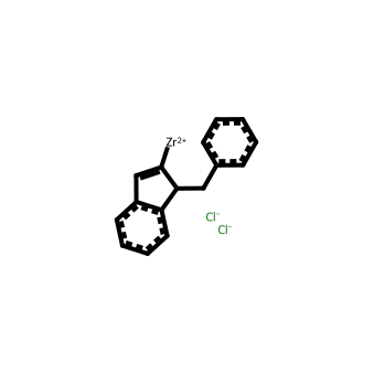 [Cl-].[Cl-].[Zr+2][C]1=Cc2ccccc2C1Cc1ccccc1